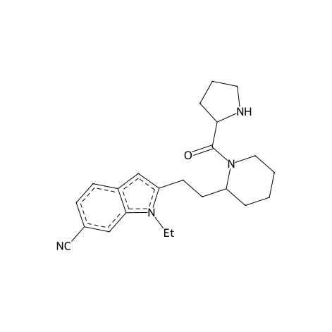 CCn1c(CCC2CCCCN2C(=O)C2CCCN2)cc2ccc(C#N)cc21